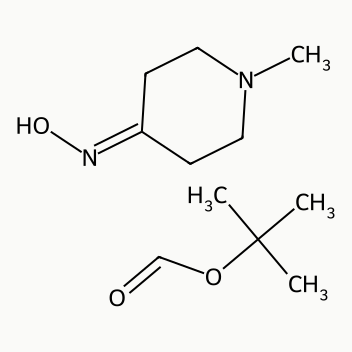 CC(C)(C)OC=O.CN1CCC(=NO)CC1